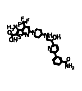 NC(=O)c1cccc(-c2ccc(C(O)CNC3CCN(c4cc(C(F)(F)F)c5c(N)c(C(=O)O)sc5n4)CC3)nc2)c1